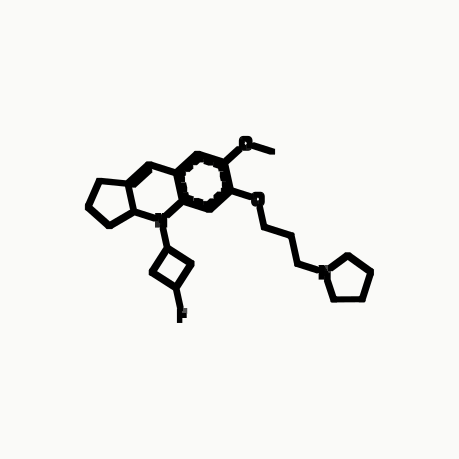 COc1cc2c(cc1OCCCN1CCCC1)N(C1CC(F)C1)C1CCCC1=C2